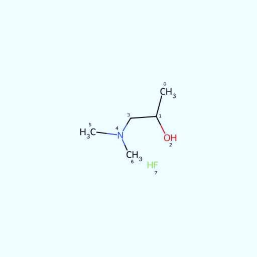 CC(O)CN(C)C.F